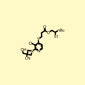 CCCCC(CC)COC(=O)CCSc1ccnc(N2CC(C#N)(CO)C2)c1Cl